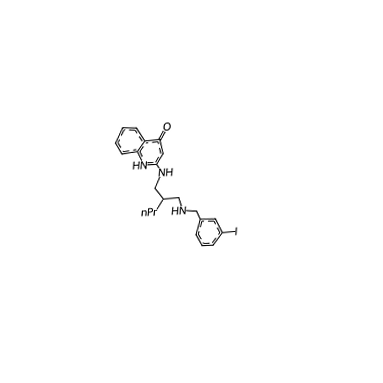 CCCC(CNCc1cccc(I)c1)CNc1cc(=O)c2ccccc2[nH]1